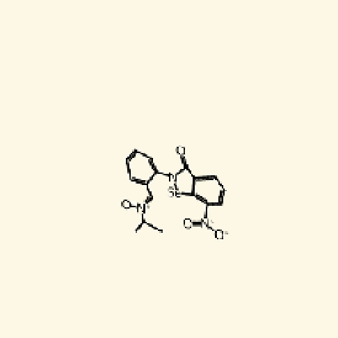 CC(C)[N+]([O-])=Cc1ccccc1-n1[se]c2c([N+](=O)[O-])cccc2c1=O